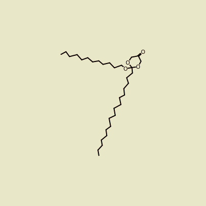 CCCCCCCCCCCCCCCCCC1(OCCCCCCCCCCCC)OCC(=O)CO1